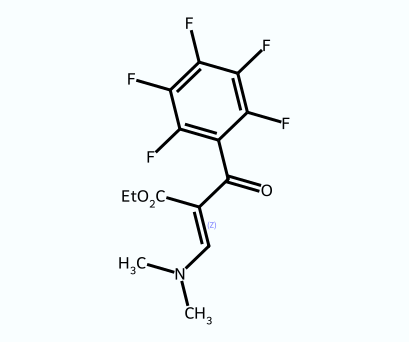 CCOC(=O)/C(=C\N(C)C)C(=O)c1c(F)c(F)c(F)c(F)c1F